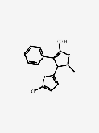 CN1OC(C(=O)O)=C(c2ccccc2)C1c1ccc(Cl)o1